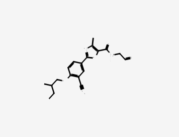 CCC(C)COc1ccc(-c2nc(C)c(C(=O)NCC=O)s2)cc1C#N